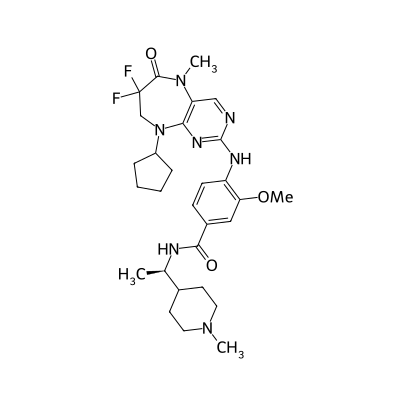 COc1cc(C(=O)N[C@H](C)C2CCN(C)CC2)ccc1Nc1ncc2c(n1)N(C1CCCC1)CC(F)(F)C(=O)N2C